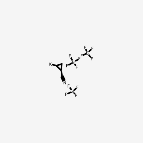 F[B-](F)(F)F.F[B-](F)(F)F.F[B-](F)(F)F.N#CC1C[CH]1[K]